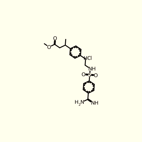 COC(=O)CC(C)c1ccc(CCNS(=O)(=O)c2ccc(C(=N)N)cc2)cc1.Cl